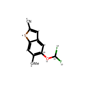 COc1cc2sc(C#N)cc2cc1OC(F)F